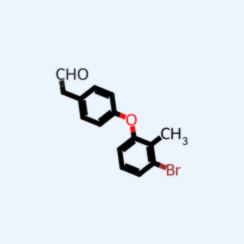 Cc1c(Br)cccc1Oc1ccc(CC=O)cc1